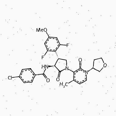 COc1cc(F)c([C@@H]2CN(c3c(C)ccn(C4CCOC4)c3=O)C(=O)[C@H]2NC(=O)c2ccc(Cl)cc2)c(F)c1